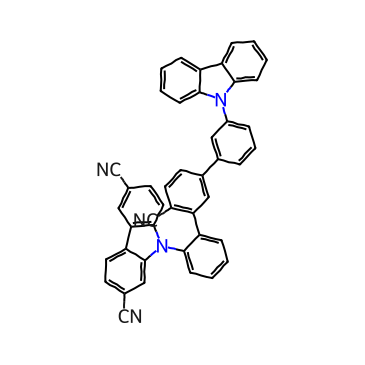 N#Cc1ccc2c(c1)c1ccc(C#N)cc1n2-c1ccccc1-c1cc(-c2cccc(-n3c4ccccc4c4ccccc43)c2)ccc1C#N